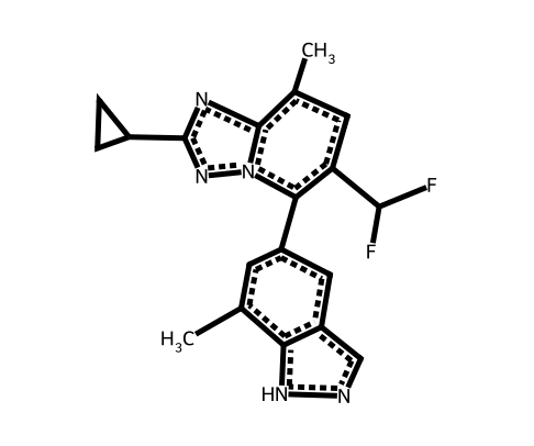 Cc1cc(-c2c(C(F)F)cc(C)c3nc(C4CC4)nn23)cc2cn[nH]c12